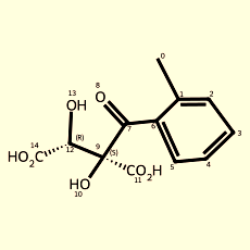 Cc1ccccc1C(=O)[C@](O)(C(=O)O)[C@@H](O)C(=O)O